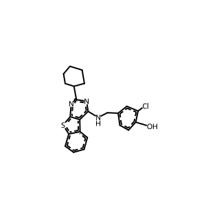 Oc1ccc(CNc2nc(C3CCCCC3)nc3sc4ccccc4c23)cc1Cl